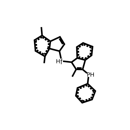 CC1=C(Pc2ccccc2)c2ccccc2[CH]1[Hf][CH]1C=Cc2c(C)ccc(C)c21